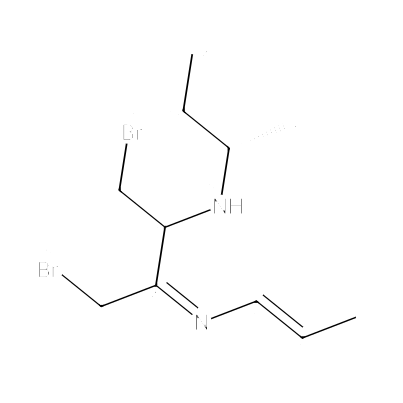 C/C=C/N=C(/CBr)C(CBr)N[C@@H](C)CC